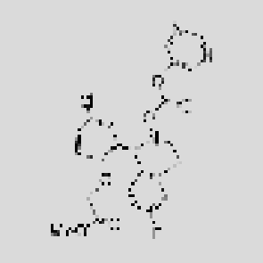 COC(=O)COc1ccc(Cl)cc1[C@@H]1c2ccc(F)cc2CCN1OC(=O)Oc1cncnc1